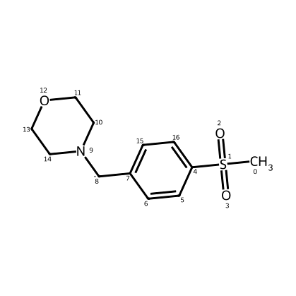 CS(=O)(=O)c1ccc([CH]N2CCOCC2)cc1